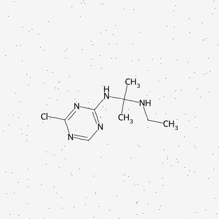 CCNC(C)(C)Nc1ncnc(Cl)n1